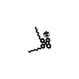 CCCCCCCCc1ccc(C2(c3ccc(CCCCCCCC)cc3)c3ccccc3-c3ccc(B4OC(C)(C)C(C)(C)O4)cc32)cc1